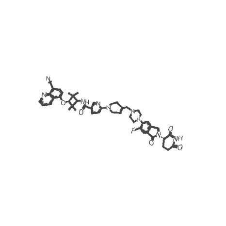 CC1(C)C(NC(=O)c2ccc(N3CCC(CN4CCN(c5cc6c(cc5F)C(=O)N([C@H]5CCC(=O)NC5=O)C6)CC4)CC3)nc2)C(C)(C)C1Oc1ccc(C#N)c2ncccc12